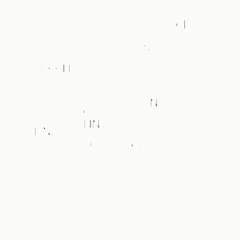 O=C(O)CC(=O)N[C@H]1c2ccccc2C[C@H]1NC(=O)c1cc2sc(Cl)c(Cl)c2[nH]1